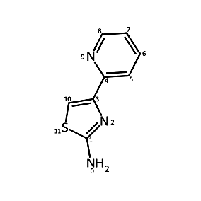 Nc1nc(-c2ccccn2)cs1